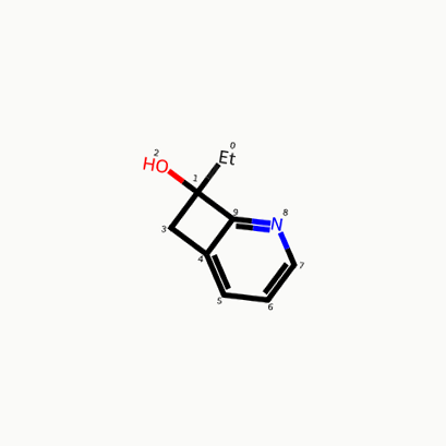 CCC1(O)Cc2cccnc21